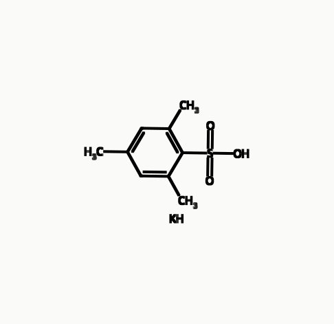 Cc1cc(C)c(S(=O)(=O)O)c(C)c1.[KH]